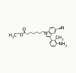 CCOC(=O)CCCCCCn1cc(-c2cccc(N)c2C)c2cc(C#N)ccc21